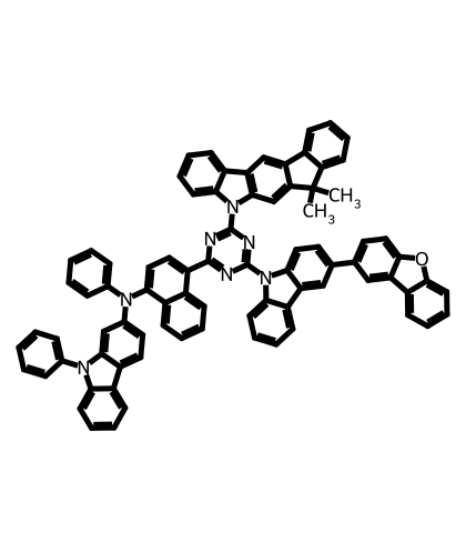 CC1(C)c2ccccc2-c2cc3c4ccccc4n(-c4nc(-c5ccc(N(c6ccccc6)c6ccc7c8ccccc8n(-c8ccccc8)c7c6)c6ccccc56)nc(-n5c6ccccc6c6cc(-c7ccc8oc9ccccc9c8c7)ccc65)n4)c3cc21